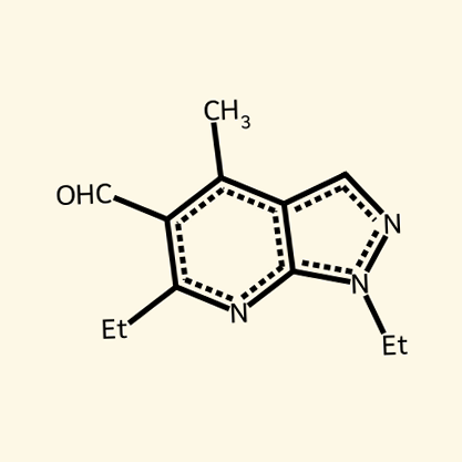 CCc1nc2c(cnn2CC)c(C)c1C=O